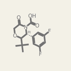 CC(C)(C)C1OCC(=O)N(C(=O)O)[C@@H]1c1cc(F)cc(F)c1